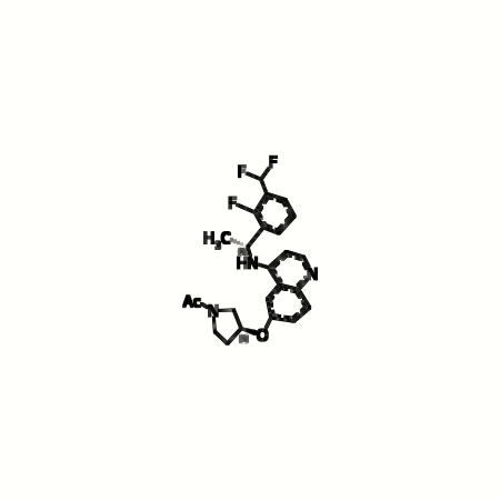 CC(=O)N1CC[C@H](Oc2ccc3nccc(N[C@H](C)c4cccc(C(F)F)c4F)c3c2)C1